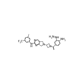 C=C(c1ccc(N)c(NN)c1)N1CC(N2Cc3cnc(Nc4cc(C)cc(C(F)(F)F)c4)nc3C2)C1